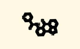 O=C(Nc1cccc2c1C(=O)c1cccc3snc-2c13)c1cccnc1